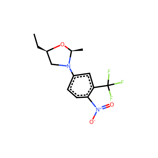 CC[C@@H]1CN(c2ccc([N+](=O)[O-])c(C(F)(F)F)c2)[C@H](C)O1